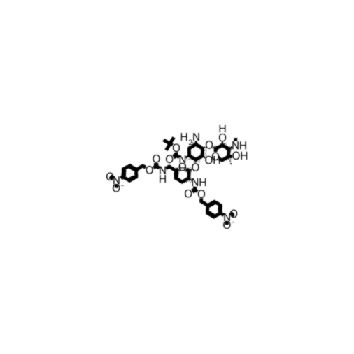 CN[C@@H]1[C@@H](O)[C@@H](O[C@@H]2[C@@H](O)[C@H](O[C@H]3OC(CNC(=O)OCc4ccc([N+](=O)[O-])cc4)=CC[C@H]3NC(=O)OCc3ccc([N+](=O)[O-])cc3)[C@@H](NC(=O)OC(C)(C)C)C[C@H]2N)OC[C@]1(C)O